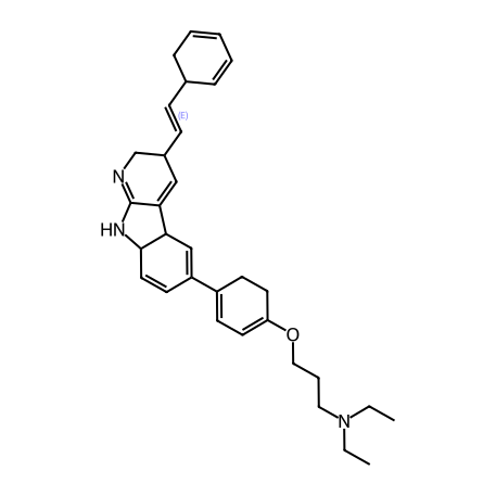 CCN(CC)CCCOC1=CC=C(C2=CC3C4=CC(/C=C/C5C=CC=CC5)CN=C4NC3C=C2)CC1